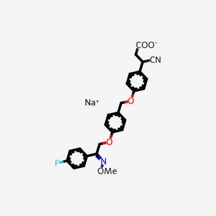 CON=C(COc1ccc(COc2ccc(C(C#N)CC(=O)[O-])cc2)cc1)c1ccc(F)cc1.[Na+]